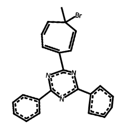 CC1(Br)C=CC=C(c2nc(-c3ccccc3)nc(-c3ccccc3)n2)C=C1